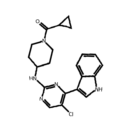 O=C(C1CC1)N1CCC(Nc2ncc(Cl)c(-c3c[nH]c4ccccc34)n2)CC1